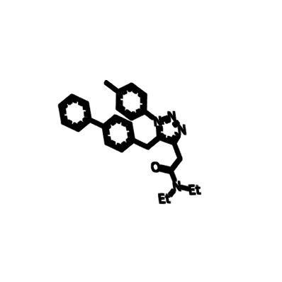 CCN(CC)C(=O)Cc1nnn(-c2ccc(C)cc2)c1Cc1ccc(-c2ccccc2)cc1